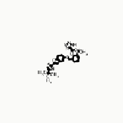 COc1cccc(COc2ccc3oc(-c4nc(C(C)(C)C)cs4)cc3c2)c1OC(C)c1nnn[nH]1